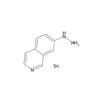 NNc1ccc2ccncc2c1.[Sn]